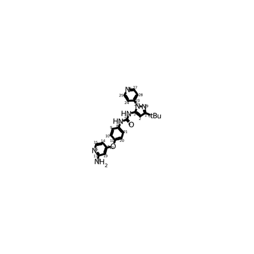 CC(C)(C)c1cc(NC(=O)Nc2ccc(Oc3ccnc(N)c3)cc2)n(-c2ccncc2)n1